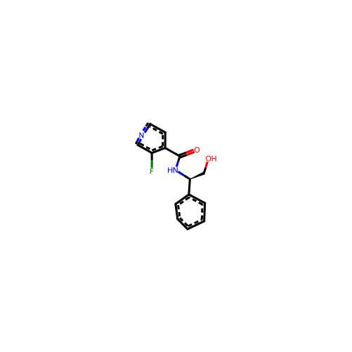 O=C(N[C@@H](CO)c1ccccc1)c1ccncc1F